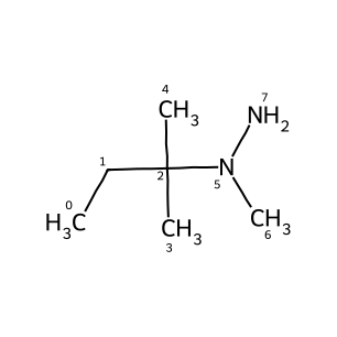 CCC(C)(C)N(C)N